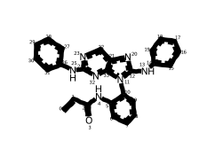 C=CC(=O)Nc1ccccc1-n1c(Nc2ccccc2)nc2cnc(Nc3ccccc3)nc21